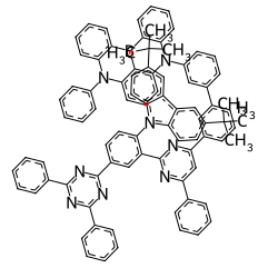 CC(C)(C)c1ccc2c(c1)c1cc(C(C)(C)C)ccc1n2-c1ccc(-c2nc(-c3ccccc3)nc(-c3ccccc3)n2)cc1-c1nc(-c2ccccc2)cc(-c2cccc(-c3cccc(N4c5ccccc5B5c6ccccc6N(c6ccccc6)c6cccc4c65)c3)c2)n1